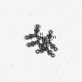 O=C(O)CCC(=O)N(CC(=O)NC(COC(COC1COC(c2ccccc2)OC1)COC1COC(c2ccccc2)OC1)COC(COC1COC(c2ccccc2)OC1)COC1COC(c2ccccc2)OC1)CC(=O)NC(COC(COC1COC(c2ccccc2)OC1)COC1COC(c2ccccc2)OC1)COC(COC1COC(c2ccccc2)OC1)COC1COC(c2ccccc2)OC1